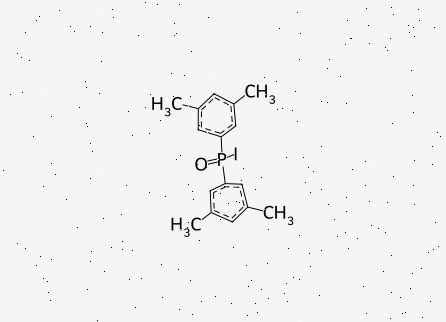 Cc1cc(C)cc(P(=O)(I)c2cc(C)cc(C)c2)c1